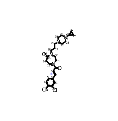 O=C(/C=C/c1ccc(Cl)c(Cl)c1)N1CCC(=O)N(CCCN2CCN(C3CC3)CC2)CC1